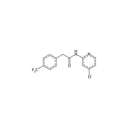 O=C(Cc1ccc(C(F)(F)F)cc1)Nc1cc(Cl)ccn1